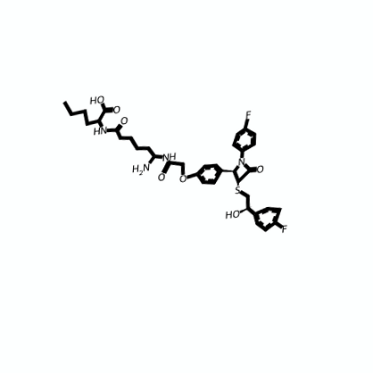 CCCCC(NC(=O)CCCCC(N)NC(=O)COc1ccc([C@@H]2[C@@H](SC[C@H](O)c3ccc(F)cc3)C(=O)N2c2ccc(F)cc2)cc1)C(=O)O